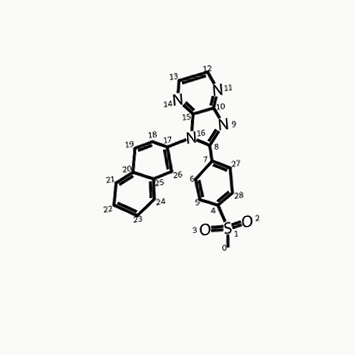 CS(=O)(=O)c1ccc(-c2nc3nccnc3n2-c2ccc3ccccc3c2)cc1